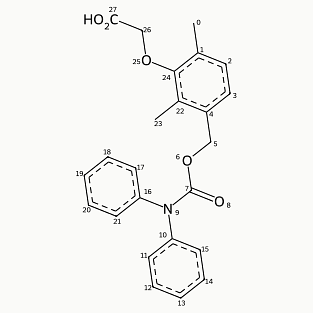 Cc1ccc(COC(=O)N(c2ccccc2)c2ccccc2)c(C)c1OCC(=O)O